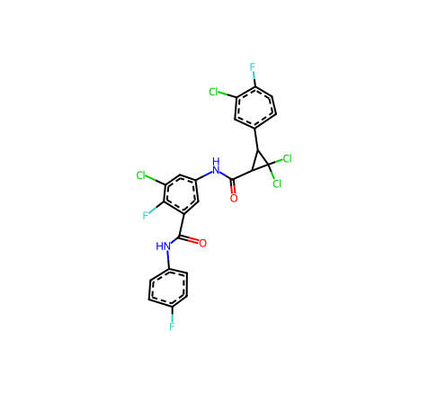 O=C(Nc1ccc(F)cc1)c1cc(NC(=O)C2C(c3ccc(F)c(Cl)c3)C2(Cl)Cl)cc(Cl)c1F